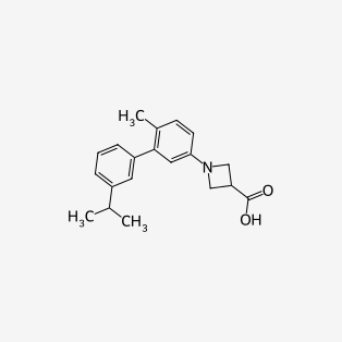 Cc1ccc(N2CC(C(=O)O)C2)cc1-c1cccc(C(C)C)c1